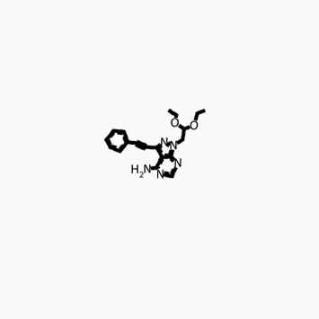 CCOC(Cn1nc(C#Cc2ccccc2)c2c(N)ncnc21)OCC